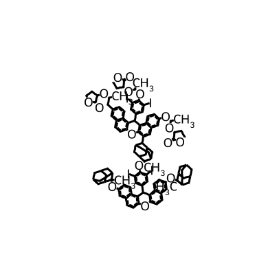 CC(Cc1ccc2c3c(ccc2c1)Oc1c(C2C4CC5CC2CC(C4)C5(C)Oc2c(I)cc(C4c5c(ccc6cc(OC7(C)C8CC9CC(C8)CC7C9)ccc56)Oc5ccc6cc(OC7(C)C8CC9CC(C8)CC7C9)ccc6c54)cc2I)cc2cc(OC(C)OC4CCOC4=O)ccc2c1C3c1cc(I)c(OC(C)OC2CCOC2=O)c(I)c1)OC1CCOC1=O